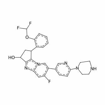 OC1CC(c2ccccc2OC(F)F)c2c1nc1cc(F)c(-c3ccc(N4CCNCC4)nc3)cn21